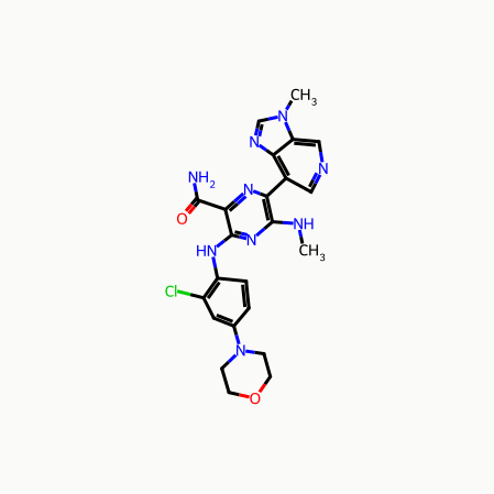 CNc1nc(Nc2ccc(N3CCOCC3)cc2Cl)c(C(N)=O)nc1-c1cncc2c1ncn2C